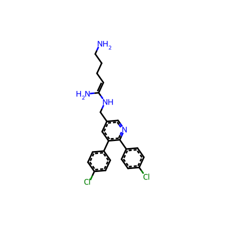 NCCCC=C(N)NCc1cnc(-c2ccc(Cl)cc2)c(-c2ccc(Cl)cc2)c1